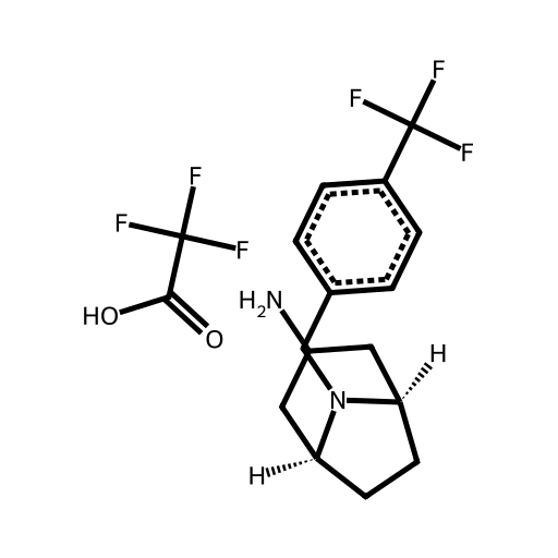 NC1C[C@H]2CC[C@@H](C1)N2Cc1ccc(C(F)(F)F)cc1.O=C(O)C(F)(F)F